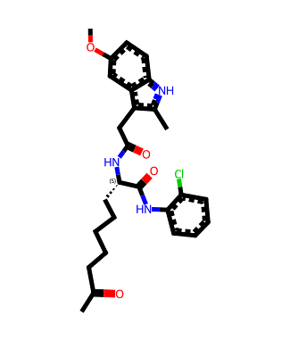 COc1ccc2[nH]c(C)c(CC(=O)N[C@@H](CCCCCC(C)=O)C(=O)Nc3ccccc3Cl)c2c1